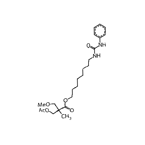 COCC(C)(COC(C)=O)C(=O)OCCCCCCCCNC(=O)Nc1ccccc1